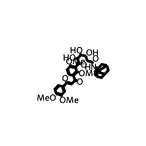 COc1ccc(-c2cc(=O)c3c(OC)c(C4OC(C(=O)NC56CC7CC(CC(C7)C5)C6)C(O)C(O)C4O)c(OC)cc3o2)cc1OC